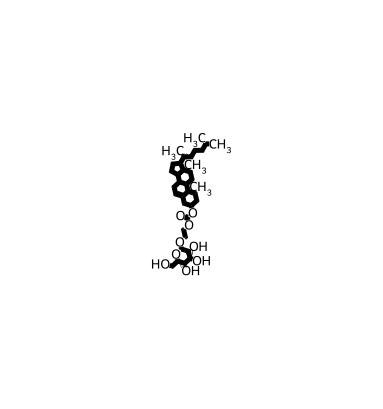 CC(C)CCC[C@@H](C)C1CCC2C3CC=C4CC(OC(=O)OCCOC5OC(CO)[C@@H](O)C(O)[C@H]5O)CCC4(C)C3CCC21C